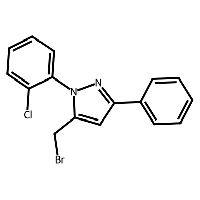 Clc1ccccc1-n1nc(-c2ccccc2)cc1CBr